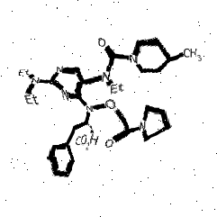 CCN(CC)c1ncc(N(CC)C(=O)N2CCC(C)CC2)c(N(OC(=O)N2CCCC2)[C@@H](Cc2ccccc2)C(=O)O)n1